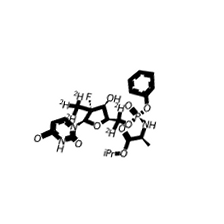 [2H]C([2H])(O[P@@](=O)(N[C@@H](C)C(=O)OC(C)C)Oc1ccccc1)[C@H]1O[C@@H](n2ccc(=O)[nH]c2=O)[C@@](F)(C([2H])([2H])[2H])[C@@H]1O